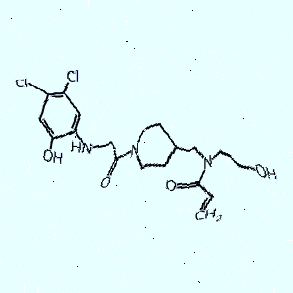 C=CC(=O)N(CCO)CC1CCN(C(=O)CNc2cc(Cl)c(Cl)cc2O)CC1